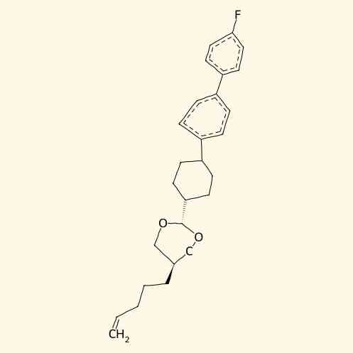 C=CCCC[C@H]1CO[C@H](C2CCC(c3ccc(-c4ccc(F)cc4)cc3)CC2)OC1